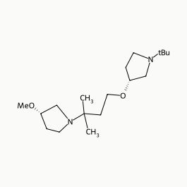 CO[C@H]1CCN(C(C)(C)CCO[C@@H]2CCN(C(C)(C)C)C2)C1